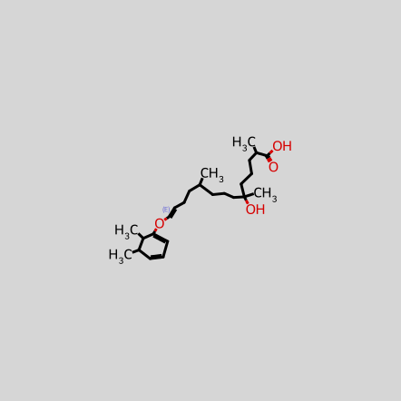 CC(CC/C=C/OC1=CC=CC(C)C1C)CCCC(C)(O)CCCC(C)C(=O)O